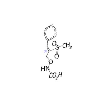 CS(=O)(=O)/C(=C\c1ccccc1)CONC(=O)O